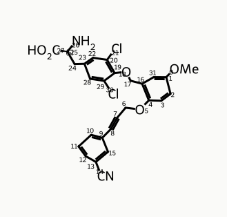 COc1ccc(OCC#Cc2cccc(C#N)c2)c(COc2c(Cl)cc(C[C@H](N)C(=O)O)cc2Cl)c1